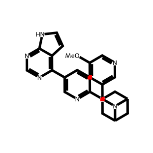 COc1cncc(CN2C3CC2CN(c2ccc(-c4ncnc5[nH]ccc45)cn2)C3)c1